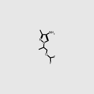 Cc1nn(C(C)COC(F)F)cc1N